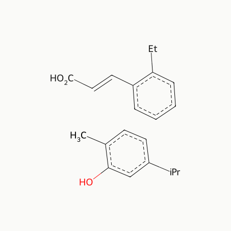 CCc1ccccc1/C=C/C(=O)O.Cc1ccc(C(C)C)cc1O